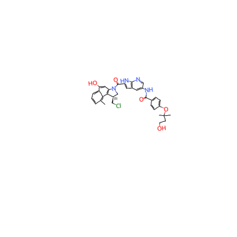 Cc1cccc2c(O)cc3c(c12)[C@H](CCl)CN3C(=O)c1cc2cc(NC(=O)c3ccc(OC(C)(C)CCO)cc3)cnc2[nH]1